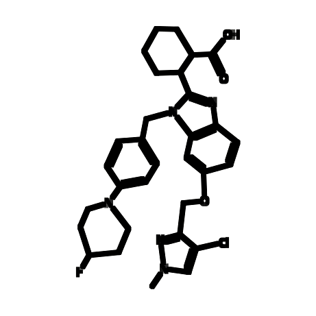 Cn1cc(Cl)c(COc2ccc3nc(C4CCCCC4C(=O)O)n(Cc4ccc(N5CCC(F)CC5)cc4)c3c2)n1